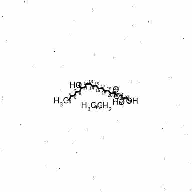 C=CC.CCCCCCC(O)C/C=C\CCCCCCCC(=O)OCC(O)CO